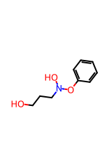 OCCCN(O)Oc1ccccc1